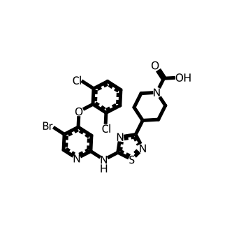 O=C(O)N1CCC(c2nsc(Nc3cc(Oc4c(Cl)cccc4Cl)c(Br)cn3)n2)CC1